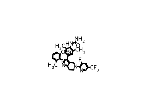 Cc1cc(-c2c3c(nn2-c2c(C)cccc2OCC(C)C)CCN(c2ncc(C(F)(F)F)cc2F)C3)cc(C)c1NC(N)=O